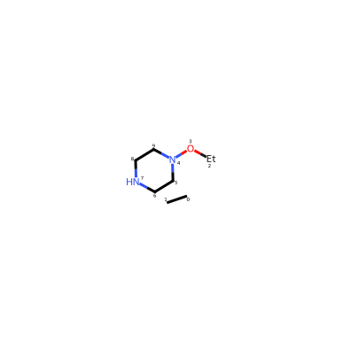 CC.CCON1CCNCC1